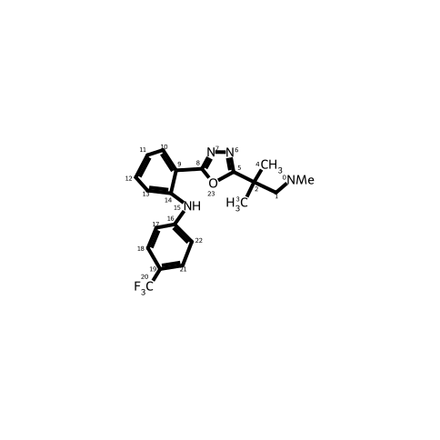 CNCC(C)(C)c1nnc(-c2ccccc2Nc2ccc(C(F)(F)F)cc2)o1